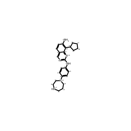 Nc1ccc2cnc(Nc3ccc(N4CCCNCC4)cc3)nc2c1C1CCCC1